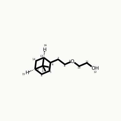 CC1(C)[C@H]2CCC(CCOCCO)[C@@H]1C2